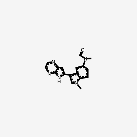 CN(C=O)c1ccc2c(c1)c(-c1cc3nccnc3[nH]1)cn2C